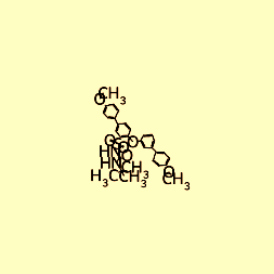 COc1ccc(-c2cccc(Oc3ccc(-c4ccc(OC)cc4)cc3S(=O)(=O)NC(=O)NC(C)(C)C)c2)cc1